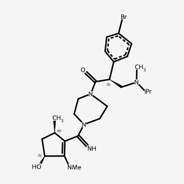 CNC1=C(C(=N)N2CCN(C(=O)[C@H](CN(C)C(C)C)c3ccc(Br)cc3)CC2)[C@H](C)C[C@@H]1O